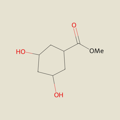 COC(=O)C1CC(O)CC(O)C1